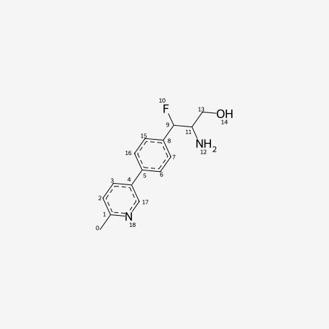 Cc1ccc(-c2ccc(C(F)C(N)CO)cc2)cn1